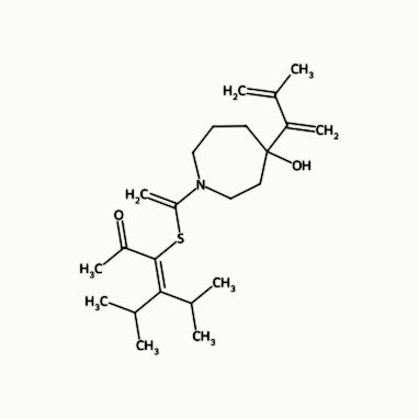 C=C(C)C(=C)C1(O)CCCN(C(=C)SC(C(C)=O)=C(C(C)C)C(C)C)CC1